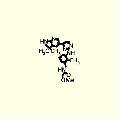 COCC(=O)NCc1cccc(Nc2nccc(-c3cnc4c(c3)C(C)(C)CN4)n2)c1C